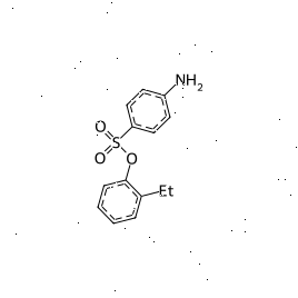 CCc1ccccc1OS(=O)(=O)c1ccc(N)cc1